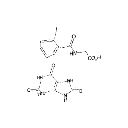 O=C(O)CNC(=O)c1ccccc1I.O=c1[nH]c(=O)c2[nH]c(=O)[nH]c2[nH]1